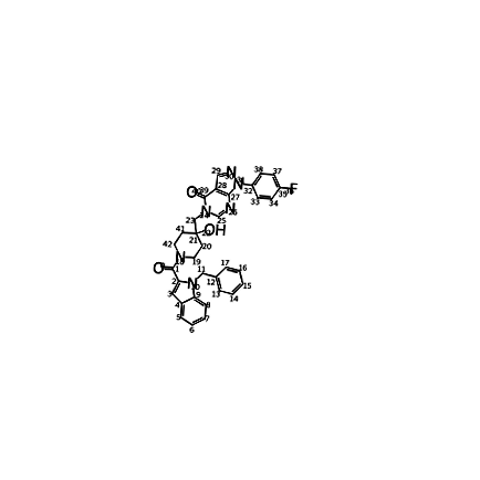 O=C(c1cc2ccccc2n1Cc1ccccc1)N1CCC(O)(Cn2cnc3c(cnn3-c3ccc(F)cc3)c2=O)CC1